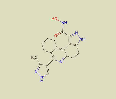 O=C(NO)c1n[nH]c2ccc3nc(-c4c[nH]nc4C(F)(F)F)c4c(c3c12)CCCC4